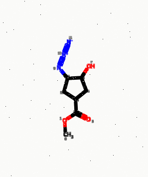 COC(=O)C1CC(O)C(N=[N+]=[N-])C1